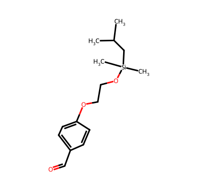 CC(C)C[Si](C)(C)OCCOc1ccc(C=O)cc1